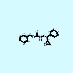 O=C(NC[C@@H](c1ccccc1)C1CO1)OCc1ccccc1